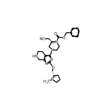 CN1CCC[C@H]1COc1nc2c(c(N3CCN(C(=O)OCc4ccccc4)[C@H](CC#N)C3)n1)CCNC2